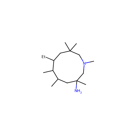 CCC1CC(C)(C)CN(C)CC(C)(N)CC(C)C1C